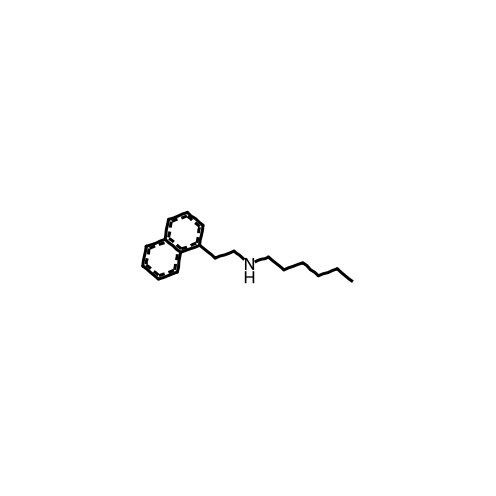 CCCCCCNCCc1cccc2ccccc12